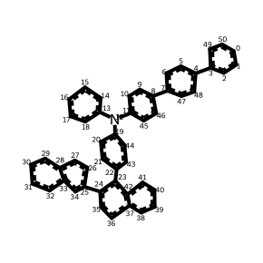 c1ccc(-c2ccc(-c3ccc(N(c4ccccc4)c4ccc(-c5c(-c6ccc7ccccc7c6)ccc6ccccc56)cc4)cc3)cc2)cc1